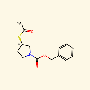 CC(=O)S[C@@H]1CCN(C(=O)OCc2ccccc2)C1